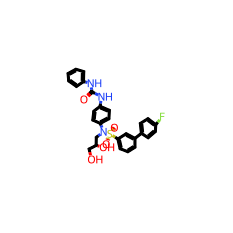 O=C(Nc1ccccc1)Nc1ccc(N(CC(O)CO)S(=O)(=O)c2cccc(-c3ccc(F)cc3)c2)cc1